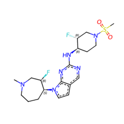 CN1CCC[C@H](n2ccc3cnc(N[C@@H]4CCN(S(C)(=O)=O)C[C@H]4F)nc32)[C@H](F)C1